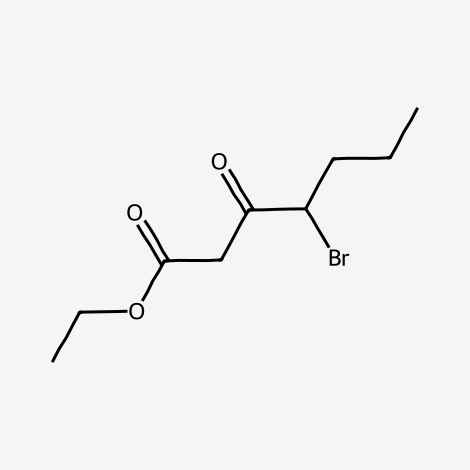 CCCC(Br)C(=O)CC(=O)OCC